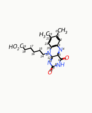 Cc1cc2nc3c(=O)[nH]c(=O)nc-3n(CCCCCC(=O)O)c2cc1C